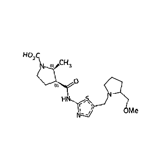 COCC1CCCN1Cc1cnc(NC(=O)[C@H]2CCN(C(=O)O)[C@H]2C)s1